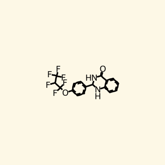 O=C1NC(c2ccc(OC(F)(F)C(F)C(F)(F)F)cc2)Nc2ccccc21